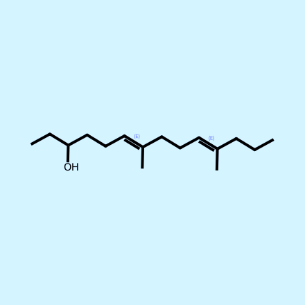 CCC/C(C)=C/CC/C(C)=C/CCC(O)CC